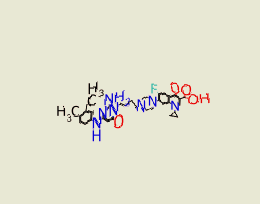 CCc1cc(Nc2cc(=O)n(CCCCN3CCN(c4cc5c(cc4F)c(=O)c(C(=O)O)cn5C4CC4)CC3)c(N)n2)ccc1C